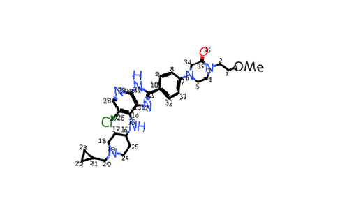 COCCN1CCN(c2ccc(-c3nc4c(NC5CCN(CC6CC6)CC5)c(Cl)cnc4[nH]3)cc2)CC1=O